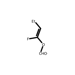 CCC=C(F)O[C]=O